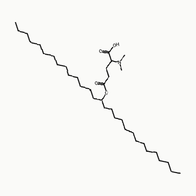 CCCCCCCCCCCCCCC(CCCCCCCCCCCCCC)OC(=O)CCC(C(=O)O)N(C)C